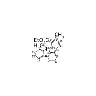 CC=P(c1ccccc1)(c1ccccc1)c1cccc(C)c1C(=O)OCC